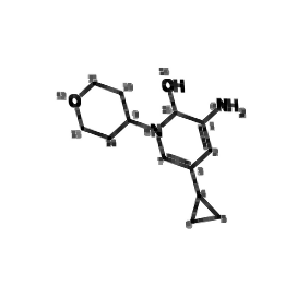 NC1=CC(C2CC2)=CN(C2CCOCC2)C1O